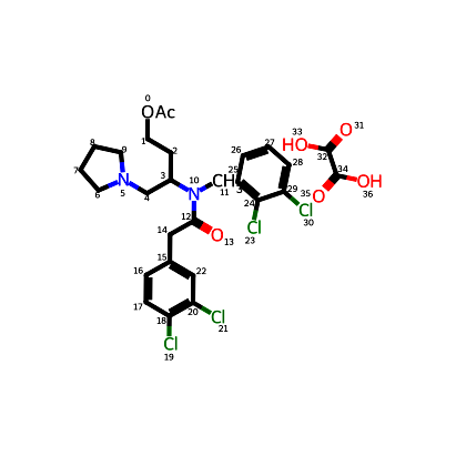 CC(=O)OCCC(CN1CCCC1)N(C)C(=O)Cc1ccc(Cl)c(Cl)c1.Clc1ccccc1Cl.O=C(O)C(=O)O